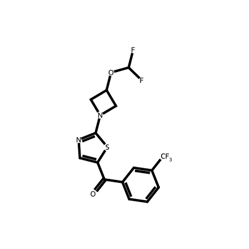 O=C(c1cccc(C(F)(F)F)c1)c1cnc(N2CC(OC(F)F)C2)s1